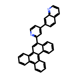 c1cnc2cc(-c3ccnc(-c4cc5c6ccccc6c6ccccc6c5c5ccccc45)c3)ccc2c1